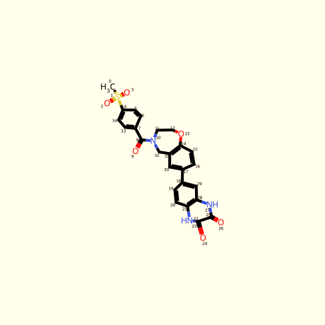 CS(=O)(=O)c1ccc(C(=O)N2CCOc3ccc(-c4ccc5[nH]c(=O)c(=O)[nH]c5c4)cc3C2)cc1